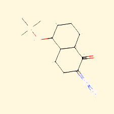 CC(C)(C)[Si](C)(C)OC1CCCC2C(=O)C(=[N+]=[N-])CCC12